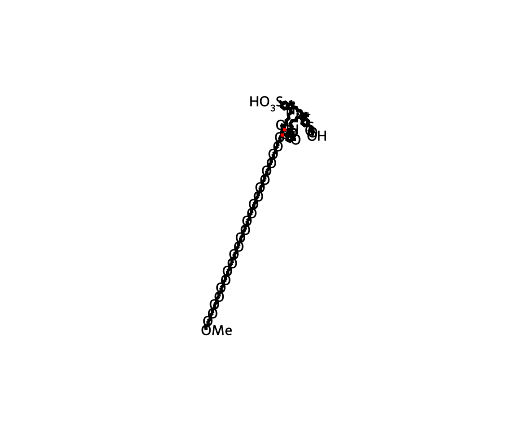 COCCOCCOCCOCCOCCOCCOCCOCCOCCOCCOCCOCCOCCOCCOCCOCCOCCOCCOCCOCCOCCOCCOCCOCCNC(=O)CCCCCN1C(=CC=CC2=[N+](CCCCCC(=O)ON3C(=O)CCC3=O)c3ccc(SOOO)cc3C2(C)C)C(C)(C)c2cc(S(=O)(=O)O)ccc21